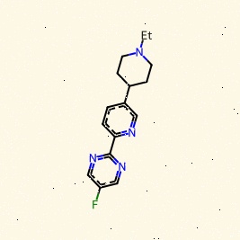 CCN1CCC(c2ccc(-c3ncc(F)cn3)nc2)CC1